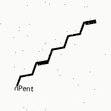 [CH2]CCCCCCC=CCCCCC=C